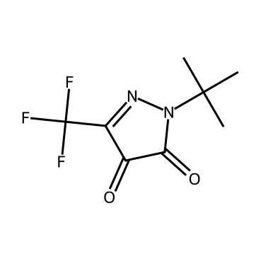 CC(C)(C)N1N=C(C(F)(F)F)C(=O)C1=O